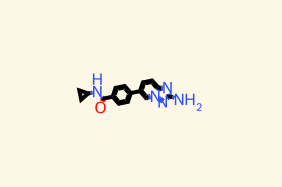 Nc1nc2ccc(-c3ccc(C(=O)NC4CC4)cc3)cn2n1